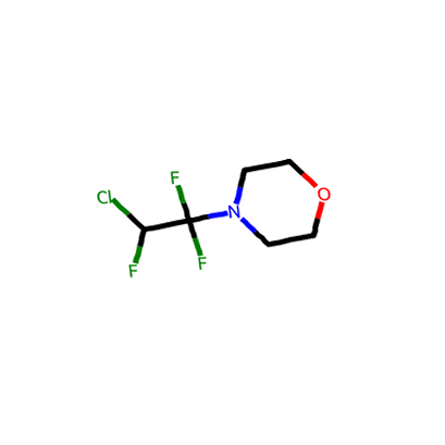 FC(Cl)C(F)(F)N1CCOCC1